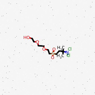 CC(C)(CCS(=O)(=O)CCOCCOCCO)N(Cl)Cl